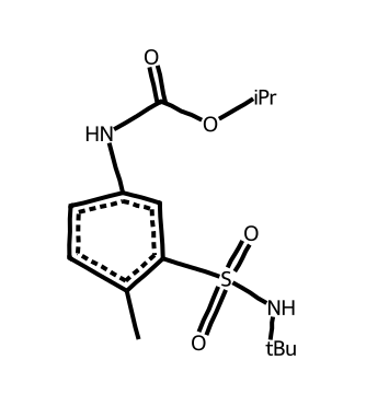 Cc1ccc(NC(=O)OC(C)C)cc1S(=O)(=O)NC(C)(C)C